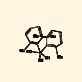 CC(C)(C)c1cccc(C(C)(C)C)c1P(O)(O)(O)c1c(C(C)(C)C)cccc1C(C)(C)C